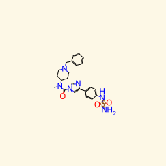 CN(C(=O)n1cnc(-c2ccc(NS(N)(=O)=O)cc2)c1)C1CCN(Cc2ccccc2)CC1